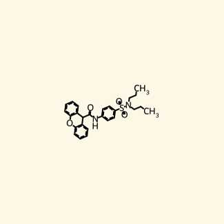 CCCN(CCC)S(=O)(=O)c1ccc(NC(=O)C2c3ccccc3Oc3ccccc32)cc1